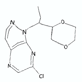 CC(C1COCCO1)n1ncc2ncc(Cl)nc21